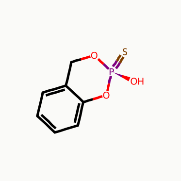 O[P@]1(=S)OCc2ccccc2O1